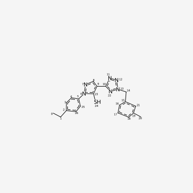 CCc1ccc(-n2ncc(-c3nnn(Cc4cccc(C)c4)n3)c2S)cc1